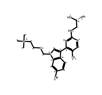 CCC[C@@H](O)CNc1ncc(C(F)(F)F)c(-c2cn(COCC[Si](C)(C)C)c3cc(C#N)ccc23)n1